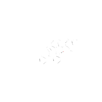 N#Cc1cc(C#N)c(N2c3ccccc3C3(c4ccccc4N(c4ccccc4)c4ccccc43)c3ccccc32)c(C#N)n1